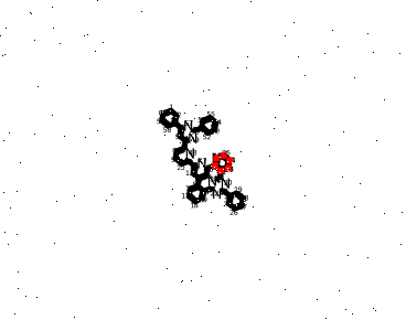 c1ccc(-c2cc(-c3cccc(-c4cc(-c5ccccc5-c5nc(-c6ccccc6)nc(-c6ccccc6)n5)cc(-c5ccccn5)n4)n3)nc(-c3ccccc3)n2)cc1